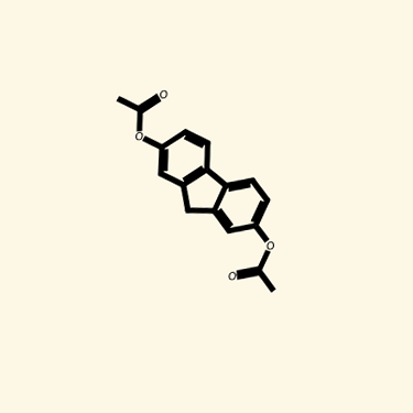 CC(=O)Oc1ccc2c(c1)Cc1cc(OC(C)=O)ccc1-2